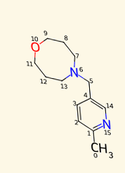 Cc1ccc(CN2CCCOCCC2)cn1